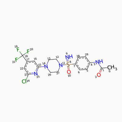 CC(=O)Nc1ccc(S(=N)(=O)N2CCN(c3cc(C(F)(F)F)cc(Cl)n3)CC2)cc1